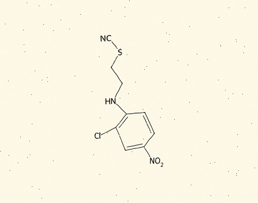 N#CSCCNc1ccc([N+](=O)[O-])cc1Cl